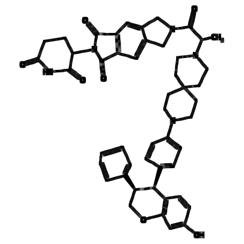 CC(C(=O)N1Cc2cc3c(cc2C1)C(=O)N(C1CCC(=O)NC1=O)C3=O)N1CCC2(CCN(c3ccc([C@H]4c5ccc(O)cc5OC[C@H]4c4ccccc4)cc3)CC2)CC1